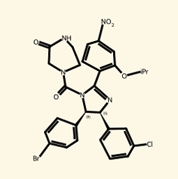 CC(C)Oc1cc([N+](=O)[O-])ccc1C1=N[C@@H](c2cccc(Cl)c2)[C@@H](c2ccc(Br)cc2)N1C(=O)N1CCNC(=O)C1